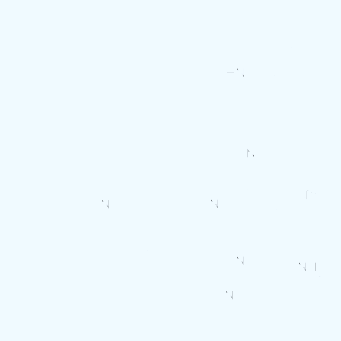 Nc1c(Br)c(N2CCNC(=O)CC2)nc2c(-c3cnc4ccccc4c3)cnn12